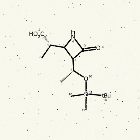 C[C@H](C(=O)O)C1NC(=O)C1[C@@H](C)O[Si](C)(C)C(C)(C)C